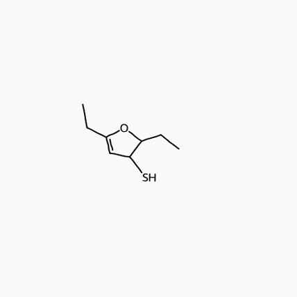 CCC1=CC(S)C(CC)O1